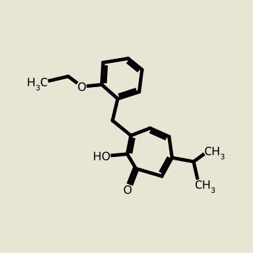 CCOc1ccccc1Cc1ccc(C(C)C)cc(=O)c1O